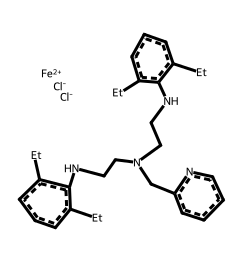 CCc1cccc(CC)c1NCCN(CCNc1c(CC)cccc1CC)Cc1ccccn1.[Cl-].[Cl-].[Fe+2]